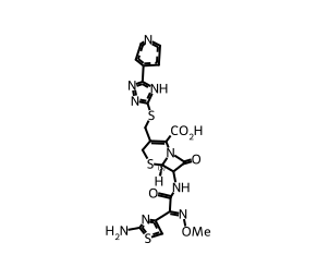 CON=C(C(=O)NC1C(=O)N2C(C(=O)O)=C(CSc3nnc(-c4ccncc4)[nH]3)CS[C@@H]12)c1csc(N)n1